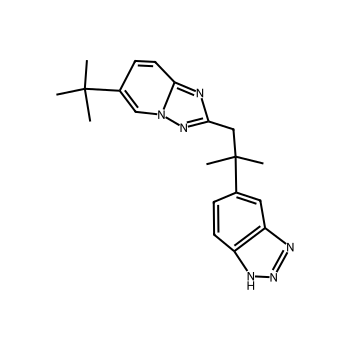 CC(C)(C)c1ccc2nc(CC(C)(C)c3ccc4[nH]nnc4c3)nn2c1